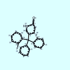 O=c1ccc(C(c2ccccc2)(c2ccccc2F)c2ccccc2F)c[nH]1